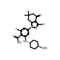 CCc1nn(-c2cc(F)c(C(N)=O)c(N[C@H]3CC[C@H](OC)CC3)c2)c2c1C(=O)CC(C)(C)C2